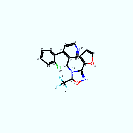 FC(F)(F)C1ON=C(c2ccco2)N1Cc1cnccc1-c1ccccc1Cl